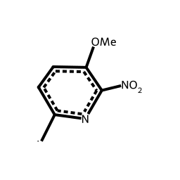 [CH2]c1ccc(OC)c([N+](=O)[O-])n1